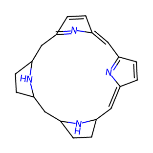 C1=CC2=NC1=CC1CCC(CC3CCC(CC4=NC(=C2)C=C4)N3)N1